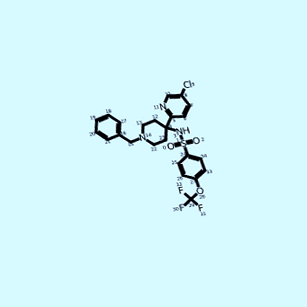 O=S(=O)(NC1(c2ccc(Cl)cn2)CCN(Cc2ccccc2)CC1)c1ccc(OC(F)(F)F)cc1